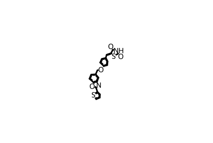 O=C1NC(=O)C(=Cc2ccc(OCc3ccc4oc(-c5cccs5)nc4c3)cc2)S1